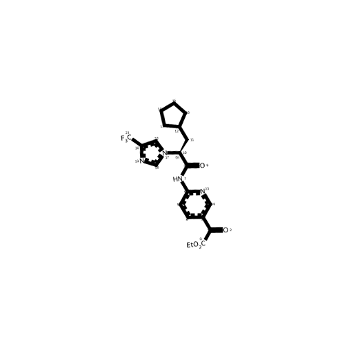 CCOC(=O)C(=O)c1ccc(NC(=O)[C@H](CC2CCCC2)n2cnc(C(F)(F)F)c2)nc1